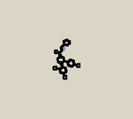 O=C(/C=C/c1ccsc1)N1CCN(c2ccc(Cl)cc2Cl)C(c2ccc(Cl)cc2)C1